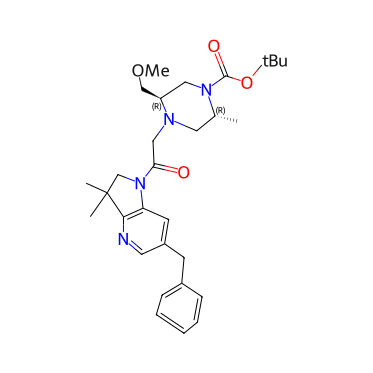 COC[C@H]1CN(C(=O)OC(C)(C)C)[C@H](C)CN1CC(=O)N1CC(C)(C)c2ncc(Cc3ccccc3)cc21